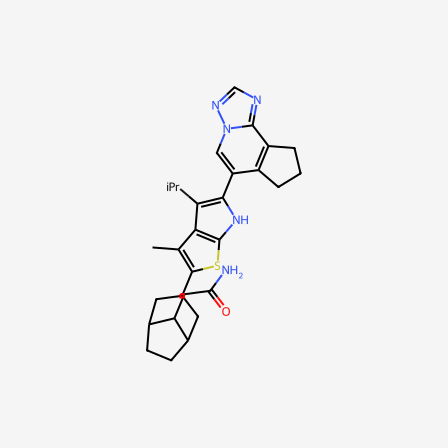 Cc1c(C2CC3CCC(C2)C3CC(N)=O)sc2[nH]c(-c3cn4ncnc4c4c3CCC4)c(C(C)C)c12